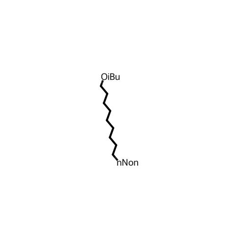 CCCCCCCCCCCCCCCCCCOCC(C)C